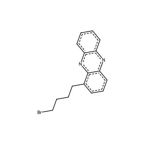 BrCCCCc1cccc2nc3ccccc3nc12